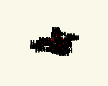 CNc1nc(NCCCCCNc2nc(NCCCCCNc3nc(CNCNc4nc(NCNc5nc(N)nc(NCO)n5)nc(NCNc5nc(NCO)nc(NCNc6nc(NCO)nc(NCO)n6)n5)n4)nc(NCNc4nc(NCO)nc(NCNc5nc(N)nc(NCO)n5)n4)n3)nc(NCNc3nc(N)nc(NCO)n3)n2)nc(NCNc2nc(N)nc(NCNc3nc(N)nc(NCO)n3)n2)n1